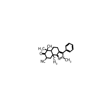 Cn1nc2c(c1-c1ccccc1)CCC1C(C)(C)C(=O)C(C#N)CC21C